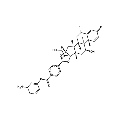 C[C@]12C=CC(=O)C=C1[C@@H](F)C[C@H]1[C@@H]3C[C@H]4O[C@H](c5ccc(C(=O)OC6=CC(N)CC=C6)cc5)O[C@@]4(C(=O)CO)[C@@]3(C)C[C@H](O)[C@@]12F